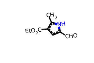 CCOC(=O)c1cc(C=O)[nH]c1C